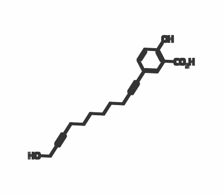 O=C(O)c1cc(C#CCCCCCCC#CCO)ccc1O